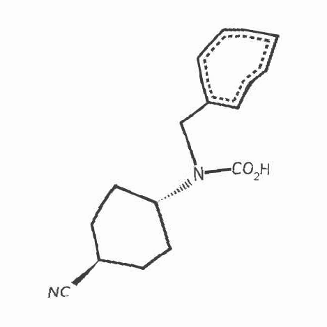 N#C[C@H]1CC[C@H](N(Cc2ccccc2)C(=O)O)CC1